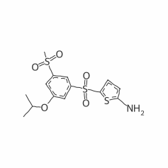 CC(C)Oc1cc(S(C)(=O)=O)cc(S(=O)(=O)c2ccc(N)s2)c1